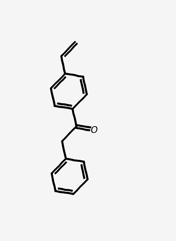 C=Cc1ccc(C(=O)Cc2ccccc2)cc1